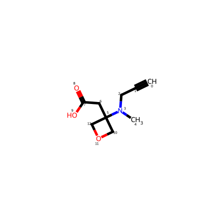 C#CCN(C)C1(CC(=O)O)COC1